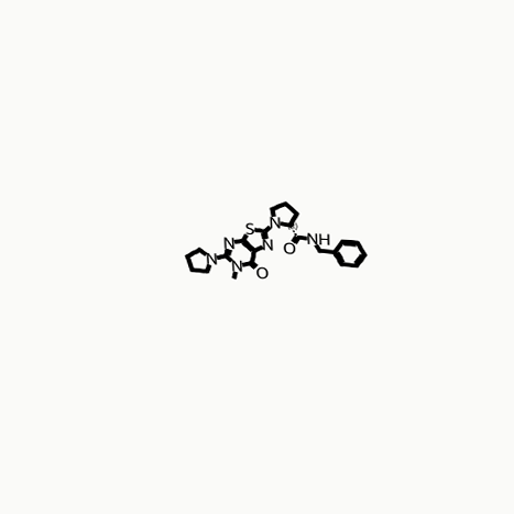 Cn1c(N2CCCC2)nc2sc(N3CCC[C@@H]3C(=O)NCc3ccccc3)nc2c1=O